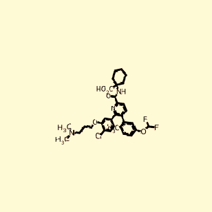 Cc1ccc(OC(F)F)cc1-c1ccc(C(=O)NC2(C(=O)O)CCCCC2)nc1-c1ccc(Cl)c(OCCCN(C)C)c1